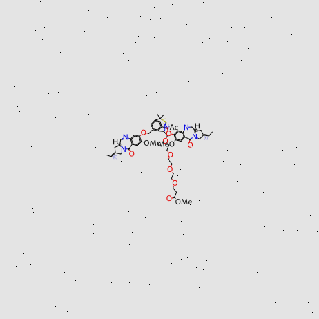 C/C=C1\C[C@H]2C=Nc3cc(OCc4cc5cc(COc6cc7c(cc6OC)C(=O)N6C/C(=C/C)C[C@H]6C=N7)c4C(COCCOCCOCCOCCC(=O)OC)N(C(C)=O)SC5(C)C)c(OC)cc3C(=O)N2C1